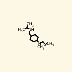 CSCN(C)C1CCC(CNC(C)C)CC1